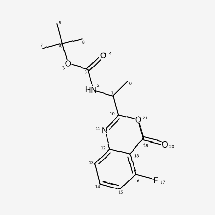 CC(NC(=O)OC(C)(C)C)c1nc2cccc(F)c2c(=O)o1